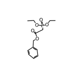 CCOP(=O)(CC(=O)OCc1ccccc1)OCC